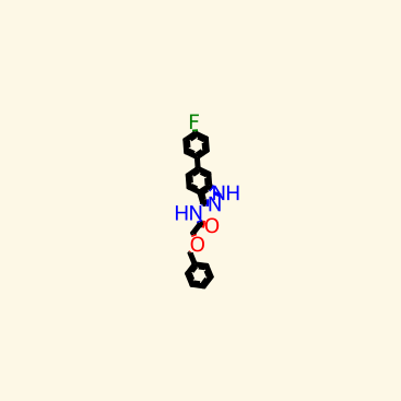 O=C(COCc1ccccc1)Nc1n[nH]c2cc(-c3ccc(F)cc3)ccc12